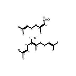 CC(C)=CCCC(C)=C(C=O)CC=C(C)C.CC(C)=CCCC(C)=CC=O